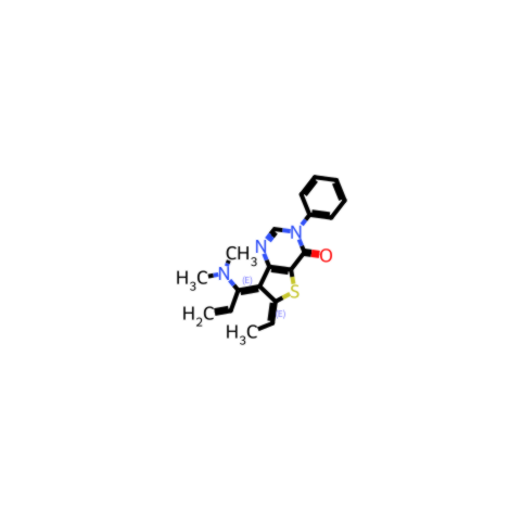 C=C/C(=c1\c(=C/C)sc2c(=O)n(-c3ccccc3)cnc12)N(C)C